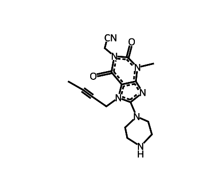 CC#CCn1c(N2CCNCC2)nc2c1c(=O)n(CC#N)c(=O)n2C